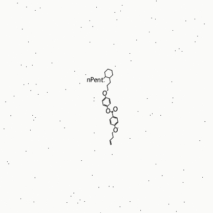 C=CCCOc1ccc(C(=O)Oc2ccc(OCCCC3CCCCC3CCCCC)cc2)cc1